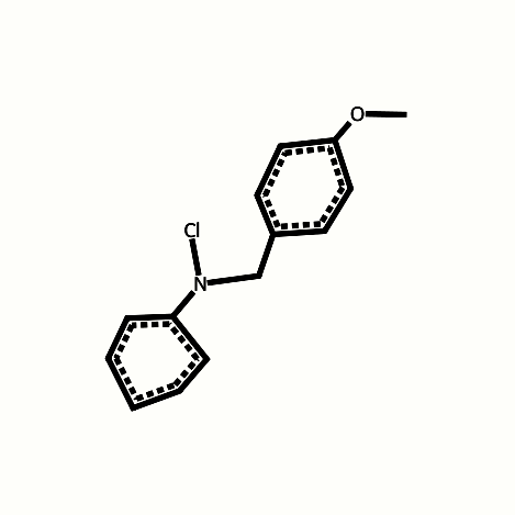 COc1ccc(CN(Cl)c2ccccc2)cc1